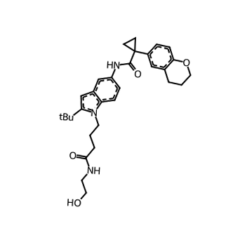 CC(C)(C)c1cc2cc(NC(=O)C3(c4ccc5c(c4)CCCO5)CC3)ccc2n1CCCC(=O)NCCO